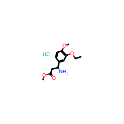 CCOc1cc([C@@H](N)CC(=O)OC)ccc1OC.Cl